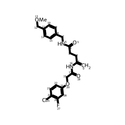 C=C(CCC(=O)NCc1ccc(COC)cc1)NC(=O)COc1ccc(Cl)c(F)c1